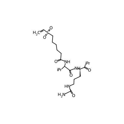 C=CS(=O)(=O)CCCCCC(=O)NC(C(=O)N[C@H](CCCNC(N)=O)C(=O)C(C)C)C(C)C